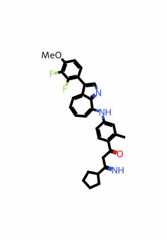 COc1ccc(-c2cnc3c(Nc4ccc(C(=O)CC(=N)C5CCCC5)c(C)c4)ccccc2-3)c(F)c1F